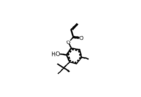 C=CC(=O)Oc1cc(C)cc(C(C)(C)C)c1O